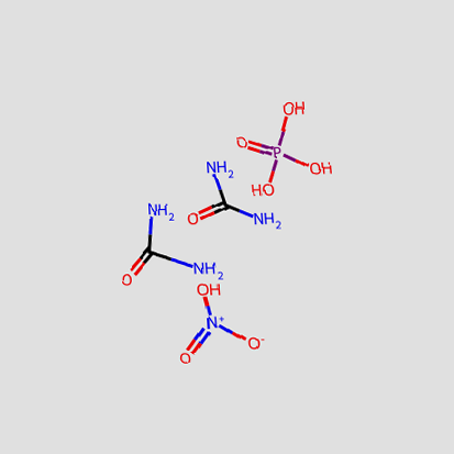 NC(N)=O.NC(N)=O.O=P(O)(O)O.O=[N+]([O-])O